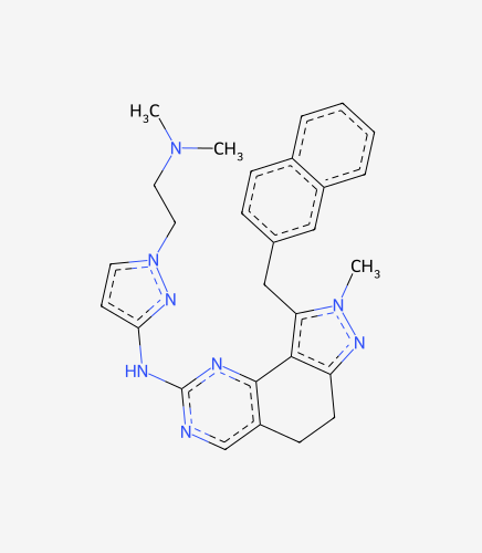 CN(C)CCn1ccc(Nc2ncc3c(n2)-c2c(nn(C)c2Cc2ccc4ccccc4c2)CC3)n1